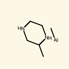 CC1CNCCN1.[CH3][Al]